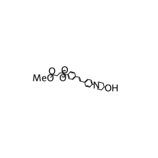 COC(=O)CCS(=O)(=O)c1ccc(/C=C/c2ccc(N3CCC(O)CC3)cc2)cc1